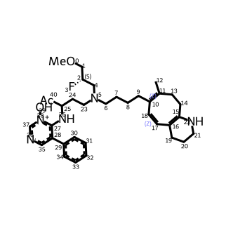 COC[C@@H](F)CN(CCCCC1=C(\C)CCC2=C(/C=C\1)CCCN2)CCC(Nc1c(-c2ccccc2)cnc[n+]1O)C(C)=O